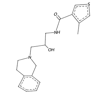 Cc1cscc1C(=O)NCC(O)CN1CCc2ccccc2C1